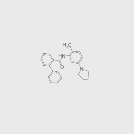 Cc1ccc(N2CCCC2)cc1NC(=O)c1ccccc1-c1ccccc1